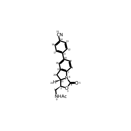 CC(=O)NC[C@@H]1OC(=O)N2c3ccc(-c4ccc(C#N)cc4)cc3C[C@@H]12